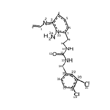 C=C/N=c1/cccc(CCNC(=O)NCc2ccc(Cl)c(Cl)c2)n1N